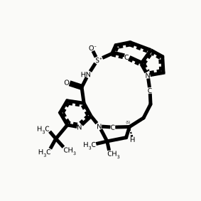 CC(C)(C)c1ccc2c(n1)N1C[C@@H](CCCn3ccc4ccc(cc43)[S+]([O-])NC2=O)CC1(C)C